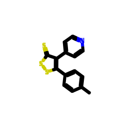 Cc1ccc(-c2ssc(=S)c2-c2ccncc2)cc1